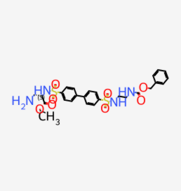 COC(=O)[C@H](CN)NS(=O)(=O)c1ccc(-c2ccc(S(=O)(=O)NCCNC(=O)OCc3ccccc3)cc2)cc1